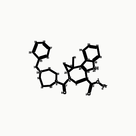 CC(C)OC(=O)C1=CN(C(=O)N2CCCN(Cc3ccccc3)CC2)C2CC2(C)c2c1[nH]c1ccccc21